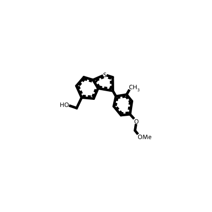 COCOc1ccc(-c2csc3ccc(CO)cc23)c(C)c1